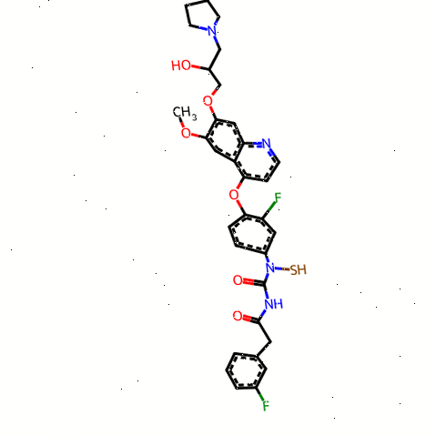 COc1cc2c(Oc3ccc(N(S)C(=O)NC(=O)Cc4cccc(F)c4)cc3F)ccnc2cc1OCC(O)CN1CCCC1